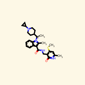 CSc1cc(C)[nH]c(=O)c1CNC(=O)c1c(C)n([C@H](C)C2CCN(C3CC3)CC2)c2ccccc12